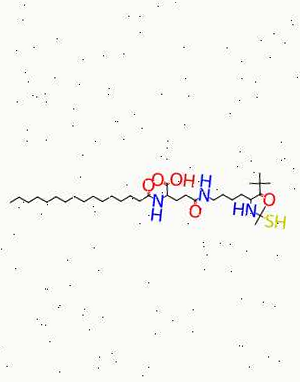 CCCCCCCCCCCCCCCC(=O)NC(CCC(=O)NCCCCC(NC(C)(C)S)C(=O)C(C)(C)C)C(=O)O